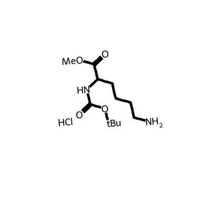 COC(=O)C(CCCCN)NC(=O)OC(C)(C)C.Cl